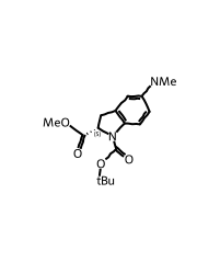 CNc1ccc2c(c1)C[C@@H](C(=O)OC)N2C(=O)OC(C)(C)C